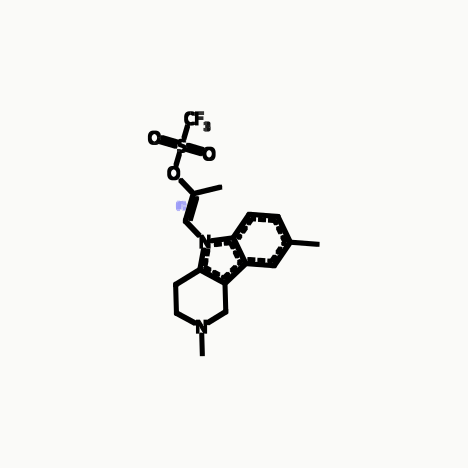 C/C(=C\n1c2c(c3cc(C)ccc31)CN(C)CC2)OS(=O)(=O)C(F)(F)F